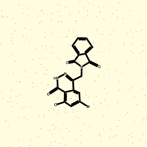 O=C1c2ccccc2C(=O)N1Cc1n[nH]c(=O)c2c(Cl)cc(Br)cc12